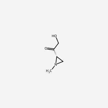 CN1C[C@H]1C(=O)CO